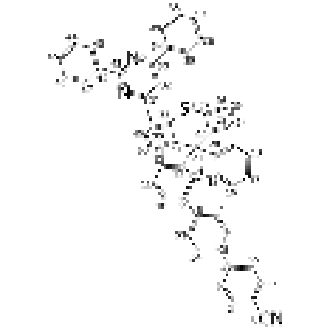 N#Cc1ccc(-c2ccc(-c3cccc4c3-c3ccccc3C43c4ccccc4Sc4c(-c5cc(-c6ccccc6)nc(-c6ccccc6)n5)cccc43)cc2)cc1